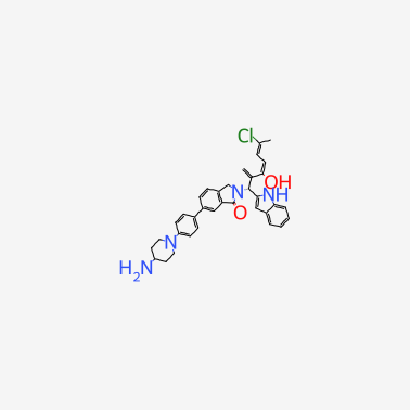 C=C(/C(O)=C\C=C(/C)Cl)[C@H](c1cc2ccccc2[nH]1)N1Cc2ccc(-c3ccc(N4CCC(N)CC4)cc3)cc2C1=O